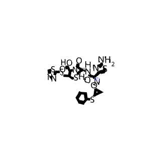 Nc1nc(/C(=N/OC2CC2Sc2ccccc2)C(=O)N[C@@H]2C(=O)N3C(C(=O)O)=C(CSc4nncs4)CS[C@H]23)cs1